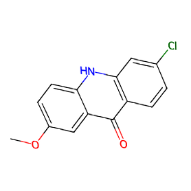 COc1ccc2[nH]c3cc(Cl)ccc3c(=O)c2c1